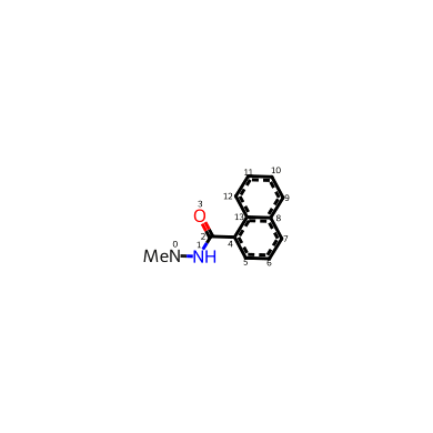 CNNC(=O)c1cccc2ccccc12